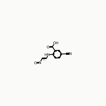 N#Cc1ccc(N/C=C/N=O)c(C(=O)O)c1